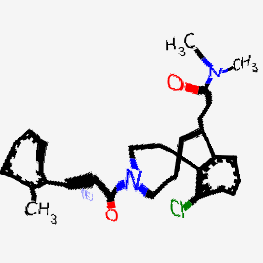 Cc1ccccc1/C=C/C(=O)N1CCC2(CC1)CC(CC(=O)N(C)C)c1cccc(Cl)c12